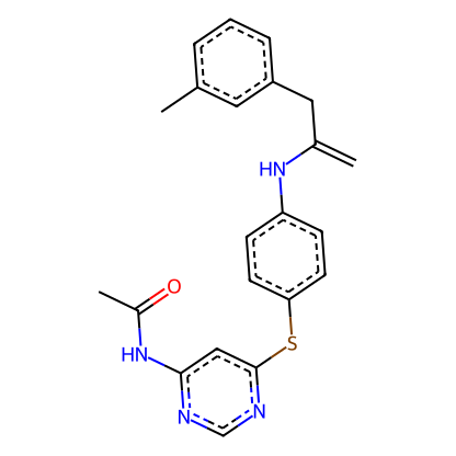 C=C(Cc1cccc(C)c1)Nc1ccc(Sc2cc(NC(C)=O)ncn2)cc1